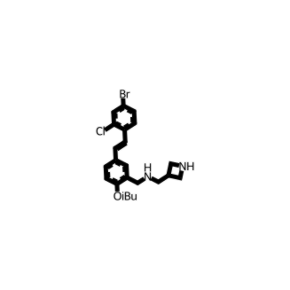 CC(C)COc1ccc(/C=C/c2ccc(Br)cc2Cl)cc1CNCC1CNC1